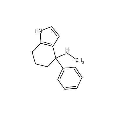 CNC1(c2ccccc2)CCCc2[nH]ccc21